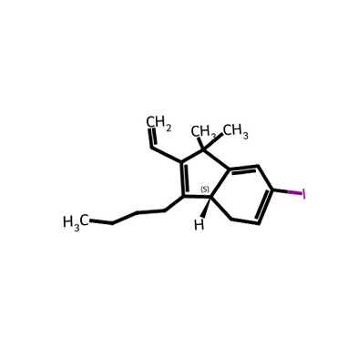 C=CC1=C(CCCC)[C@H]2CC=C(I)C=C2C1(C)C